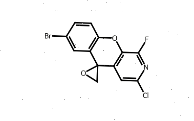 Fc1nc(Cl)cc2c1Oc1ccc(Br)cc1C21CO1